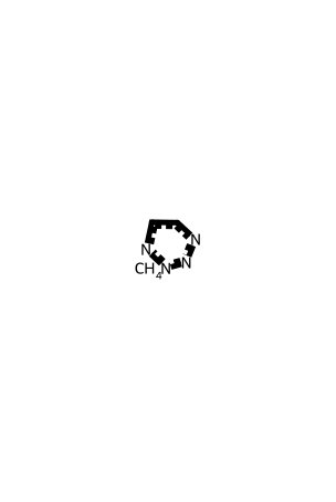 C.c1cnnnn1